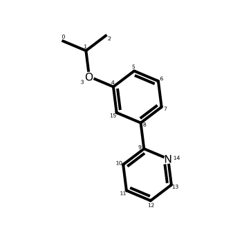 CC(C)Oc1cccc(-c2ccccn2)c1